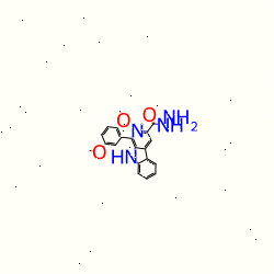 COc1ccc(OC)c(-c2nc(C(=O)NN)cc3c2[nH]c2ccccc23)c1